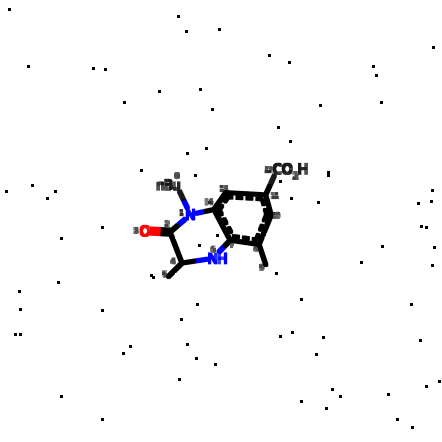 CCCCN1C(=O)C(C)Nc2c(C)cc(C(=O)O)cc21